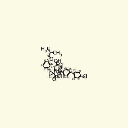 CC(C)COc1cccc([C@@H]2C[C@@]2(C(=O)O)N(CC(=O)O)S(=O)(=O)c2ccc(-c3ccc(Cl)cc3)cc2)c1